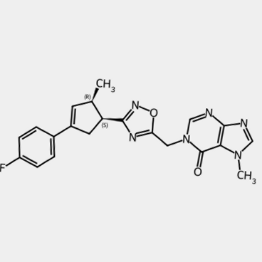 C[C@@H]1C=C(c2ccc(F)cc2)C[C@@H]1c1noc(Cn2cnc3ncn(C)c3c2=O)n1